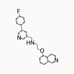 Fc1ccc(-c2cncc(CNCCOc3cccc4cnccc34)c2)cc1